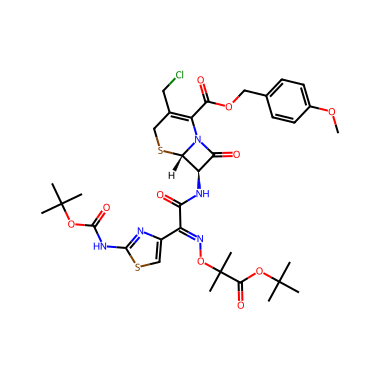 COc1ccc(COC(=O)C2=C(CCl)CS[C@H]3[C@H](NC(=O)C(=NOC(C)(C)C(=O)OC(C)(C)C)c4csc(NC(=O)OC(C)(C)C)n4)C(=O)N23)cc1